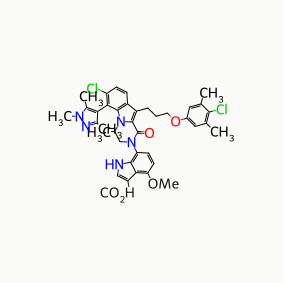 COc1ccc(N2CC(C)n3c(c(CCCOc4cc(C)c(Cl)c(C)c4)c4ccc(Cl)c(-c5c(C)nn(C)c5C)c43)C2=O)c2[nH]cc(C(=O)O)c12